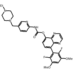 CCN1CCN(Cc2ccc(NC(=O)Oc3ccc(-c4c(F)c(OC)cc(OC)c4F)c4nccnc34)nc2)CC1